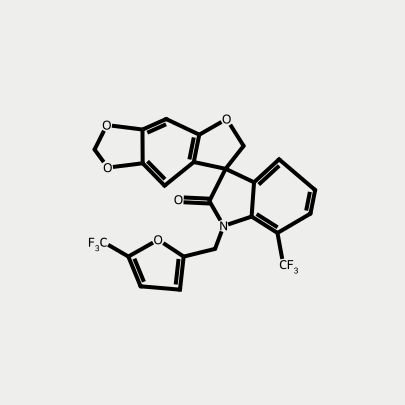 O=C1N(Cc2ccc(C(F)(F)F)o2)c2c(C(F)(F)F)cccc2C12COc1cc3c(cc12)OCO3